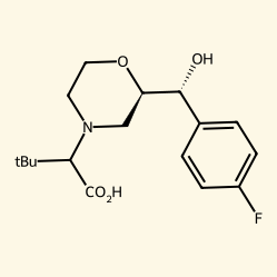 CC(C)(C)C(C(=O)O)N1CCO[C@@H]([C@H](O)c2ccc(F)cc2)C1